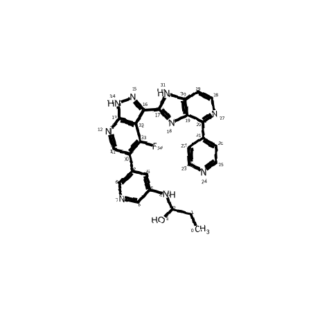 CCC(O)Nc1cncc(-c2cnc3[nH]nc(-c4nc5c(-c6ccncc6)nccc5[nH]4)c3c2F)c1